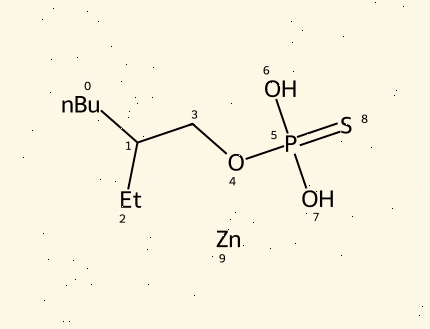 CCCCC(CC)COP(O)(O)=S.[Zn]